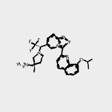 CC(C)Oc1cccc2ccc(-c3nnc4ccc([C@H](N5CC[C@](C)(N)C5)C(F)(F)F)cn34)nc12